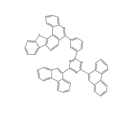 c1cc(-c2nc(-c3cc4ccccc4c4ccccc34)nc(-c3cc4ccccc4c4ccccc34)n2)cc(-c2nc3ccccc3c3c2ccc2c4ccccc4sc23)c1